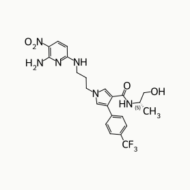 C[C@@H](CO)NC(=O)c1cn(CCCNc2ccc([N+](=O)[O-])c(N)n2)cc1-c1ccc(C(F)(F)F)cc1